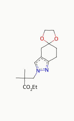 CCOC(=O)C(C)(C)Cn1cc2c(n1)CCC1(C2)OCCO1